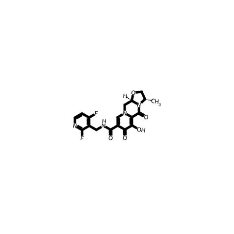 C[C@H]1CO[C@@H]2Cn3cc(C(=O)NCc4c(F)ccnc4F)c(=O)c(O)c3C(=O)N12